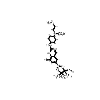 CCc1cc(B2OC(C)(C)C(C)(C)O2)cc2cnc(NC3CCC(N(CCOC)C(=O)O)CC3)nc12